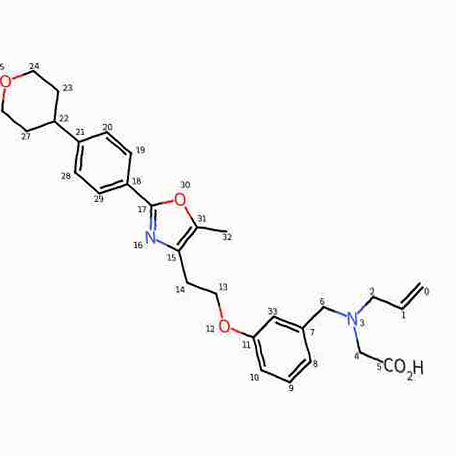 C=CCN(CC(=O)O)Cc1cccc(OCCc2nc(-c3ccc(C4CCOCC4)cc3)oc2C)c1